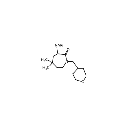 CNC1CC(C)(C)CCN(CC2CCOCC2)C1=O